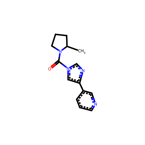 CC1CCCN1C(=O)n1cnc(-c2cccnc2)c1